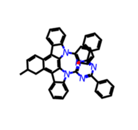 CC1C=Cc2c(c3c4ccccc4n(-c4nc(-c5ccccc5)nc(-c5ccccc5)n4)c3c3c2c2ccccc2n3-c2ccccc2)C1